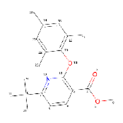 COC(=O)c1ccc(C(C)(C)C)nc1Oc1c(C)cc(C)cc1C